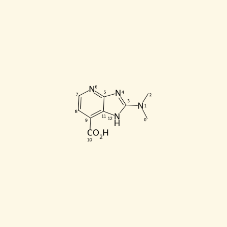 CN(C)c1nc2nccc(C(=O)O)c2[nH]1